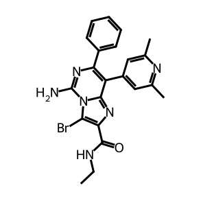 CCNC(=O)c1nc2c(-c3cc(C)nc(C)c3)c(-c3ccccc3)nc(N)n2c1Br